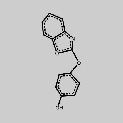 Oc1ccc(Oc2nc3ccccc3o2)cc1